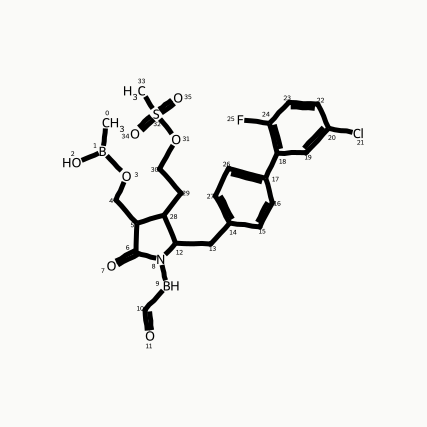 CB(O)OCC1C(=O)N(BC=O)C(Cc2ccc(-c3cc(Cl)ccc3F)cc2)C1CCOS(C)(=O)=O